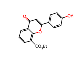 CCOC(=O)c1cccc2c(=O)cc(-c3ccc(O)cc3)oc12